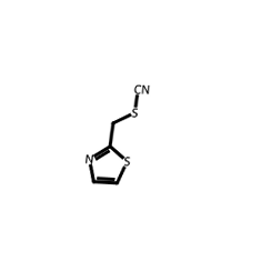 N#CSCc1nccs1